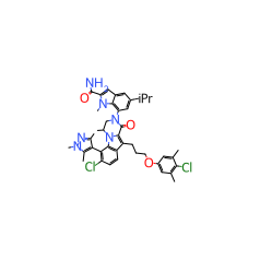 Cc1cc(OCCCc2c3n(c4c(-c5c(C)nn(C)c5C)c(Cl)ccc24)C(C)CN(c2cc(C(C)C)cc4cc(C(N)=O)n(C)c24)C3=O)cc(C)c1Cl